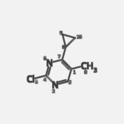 Cc1cnc(Cl)nc1C1CC1